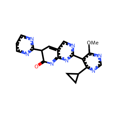 COc1ncnc(C2CC2)c1-c1ncc2c(n1)=NC(=O)C(c1ncccn1)C=2